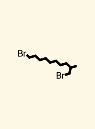 CC(CBr)CCCCCCCCBr